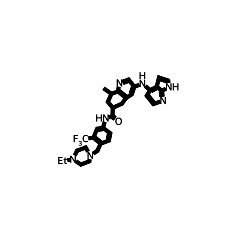 CCN1CCN(Cc2ccc(NC(=O)C3Cc4cc(Nc5ccnc6[nH]ccc56)cnc4C(C)C3)cc2C(F)(F)F)CC1